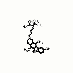 Cc1c2c(c(C)c3c1[nH]c1ccc(O)cc13)CN(CCCCN(C(C)C)C(C)C)C=C2